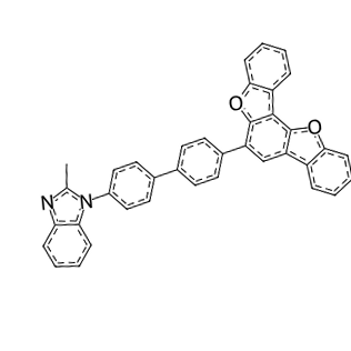 Cc1nc2ccccc2n1-c1ccc(-c2ccc(-c3cc4c5ccccc5oc4c4c3oc3ccccc34)cc2)cc1